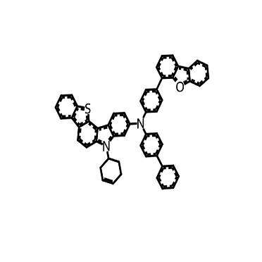 C1=CCC(n2c3cc(N(c4ccc(-c5ccccc5)cc4)c4ccc(-c5cccc6c5oc5ccccc56)cc4)ccc3c3c4sc5ccccc5c4ccc32)CC1